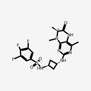 Cc1nc(N[C@H]2C[C@H](NS(=O)(=O)c3cc(F)c(F)c(F)c3)C2)nc2c1NC(=O)[C@H](C)N2C